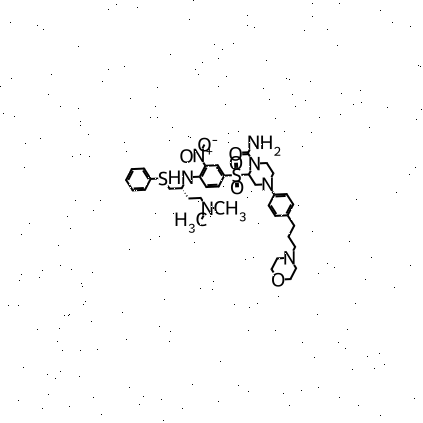 CN(C)CC[C@H](CSc1ccccc1)Nc1ccc(S(=O)(=O)C2CN(c3ccc(CCCN4CCOCC4)cc3)CCN2C(N)=O)cc1[N+](=O)[O-]